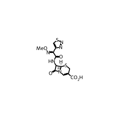 CON=C(C(=O)NC1C(=O)N2C=C(C(=O)O)CS[C@H]12)c1csnn1